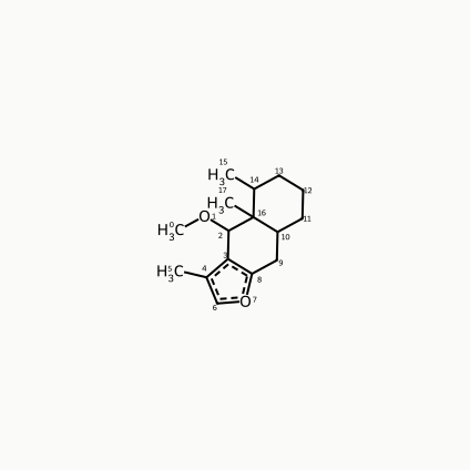 COC1c2c(C)coc2CC2CCCC(C)C21C